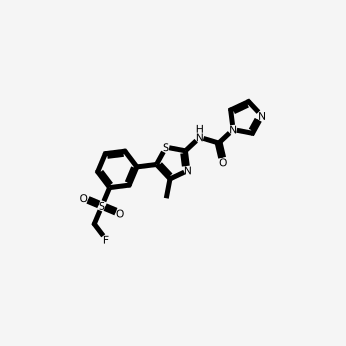 Cc1nc(NC(=O)n2ccnc2)sc1-c1cccc(S(=O)(=O)CF)c1